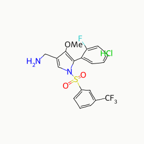 COc1c(CN)cn(S(=O)(=O)c2cccc(C(F)(F)F)c2)c1-c1ccccc1F.Cl